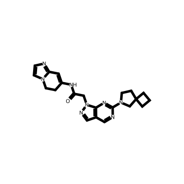 O=C(Cn1ncc2cnc(N3CCC4(CCC4)C3)nc21)NC1=Cc2nccn2CC1